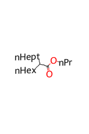 CCCCCCCC(CCCCCC)C(=O)OCCC